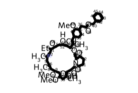 CCC1/C=C(\C)CC(C)CC(OC)C2OC(O)(C(=O)C(=O)N3CCCCC3C(=O)OC(C(C)=CC3CCC(CC(=O)OCc4ccccc4)C(OC)C3)C(C)C(O)CC1=O)C(C)CC2OC